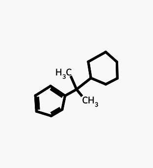 CC(C)(c1ccccc1)C1CCCCC1